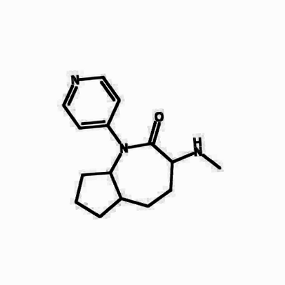 CNC1CCC2CCCC2N(c2ccncc2)C1=O